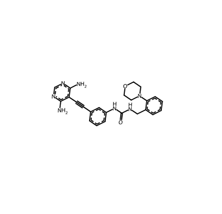 Nc1ncnc(N)c1C#Cc1cccc(NC(=O)NCc2ccccc2N2CCOCC2)c1